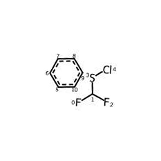 FC(F)SCl.c1ccccc1